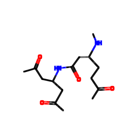 CNC(CCC(C)=O)CC(=O)NC(CC(C)=O)CC(C)=O